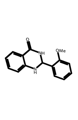 COc1ccccc1C1NC(=O)c2ccccc2N1